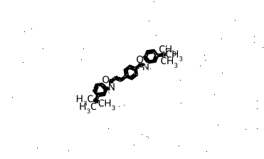 CC(C)(C)c1ccc2oc(C=Cc3ccc(-c4nc5cc(C(C)(C)C)ccc5o4)cc3)nc2c1